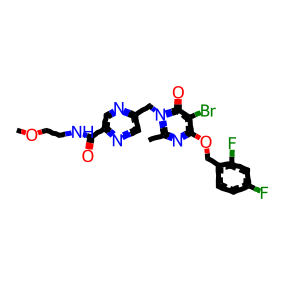 COCCNC(=O)c1cnc(Cn2c(C)nc(OCc3ccc(F)cc3F)c(Br)c2=O)cn1